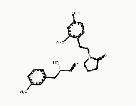 COc1cc(C(=O)O)ccc1CCN1C(=O)CC[C@@H]1/C=C/[C@@H](O)Cc1cccc(C)c1